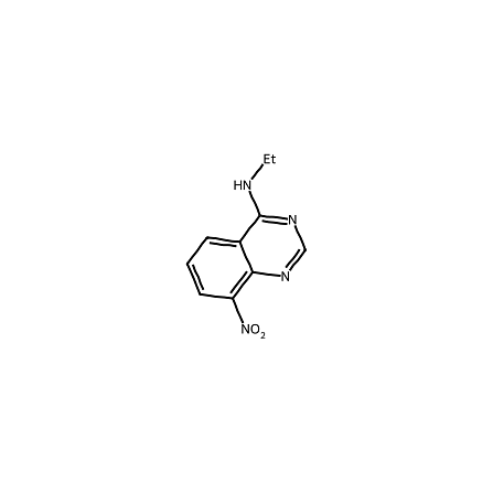 CCNc1ncnc2c([N+](=O)[O-])cccc12